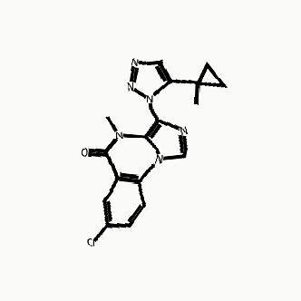 Cn1c(=O)c2cc(Cl)ccc2n2cnc(-n3nncc3C3(C)CC3)c12